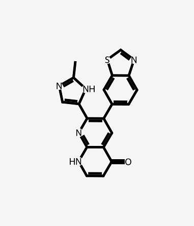 Cc1ncc(-c2nc3[nH]ccc(=O)c3cc2-c2ccc3ncsc3c2)[nH]1